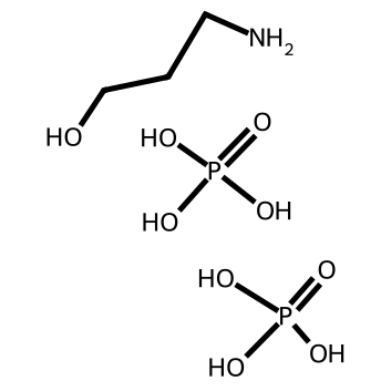 NCCCO.O=P(O)(O)O.O=P(O)(O)O